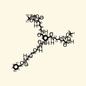 CC(C)(C)OC(=O)NC(CCCCNC(=O)c1cc(NC(=O)NCCOCCOCCNC(=O)OCc2ccccc2)cc(C(=O)NCCCCC(NC(=O)OC(C)(C)C)C(=O)O)c1)C(=O)O